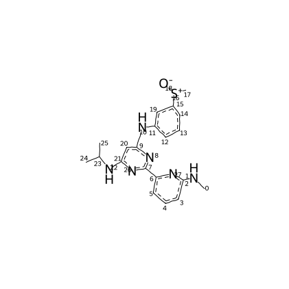 CNc1cccc(-c2nc(Nc3cccc([S+](C)[O-])c3)cc(NC(C)C)n2)n1